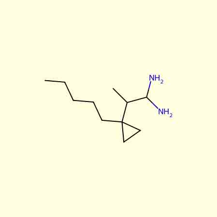 CCCCCC1(C(C)C(N)N)CC1